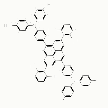 Cc1ccc(N(c2ccc(C)cc2)c2ccc(-c3cc4cc(-c5c(C)cccc5C)cc5c(-c6ccc(N(c7ccc(C)cc7)c7ccc(C)cc7)cc6)cc6cc(-c7c(C)cccc7C)cc3c6c45)cc2)cc1